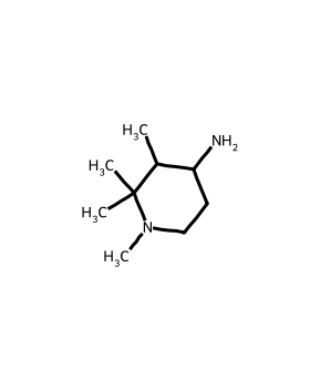 CC1C(N)CCN(C)C1(C)C